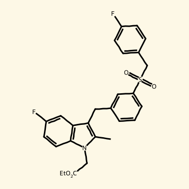 CCOC(=O)Cn1c(C)c(Cc2cccc(S(=O)(=O)Cc3ccc(F)cc3)c2)c2cc(F)ccc21